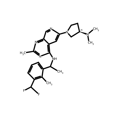 Cc1nc(NC(C)c2cccc(C(F)F)c2C)c2cc(N3CC[C@@H](N(C)C)C3)ncc2n1